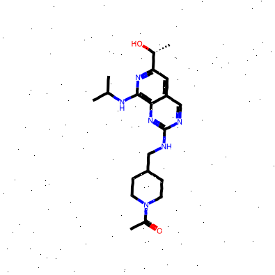 CC(=O)N1CCC(CNc2ncc3cc([C@@H](C)O)nc(NC(C)C)c3n2)CC1